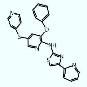 c1ccc(Oc2cc(Sc3ccncc3)cnc2Nc2nc(-c3ccccn3)cs2)cc1